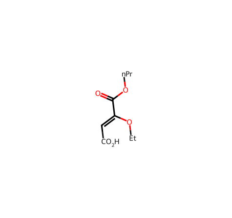 CCCOC(=O)C(=CC(=O)O)OCC